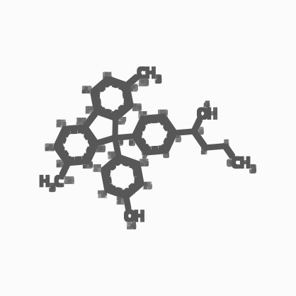 CCCC(O)c1ccc(C2(c3ccc(O)cc3)c3cc(C)ccc3-c3ccc(C)cc32)cc1